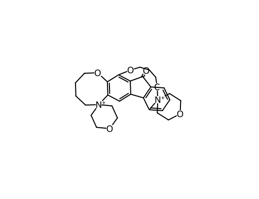 O=C1c2cccc3c2-c2cc4c(c(c21)OCCCC[N+]31CCOCC1)OCCCC[N+]41CCOCC1